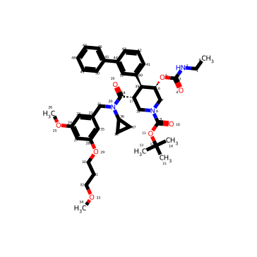 CCNC(=O)O[C@@H]1CN(C(=O)OC(C)(C)C)C[C@H](C(=O)N(Cc2cc(OC)cc(OCCCOC)c2)C2CC2)[C@H]1c1cccc(-c2ccccc2)c1